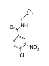 O=C(NCC1CC1)c1ccc(Cl)c([N+](=O)[O-])c1